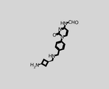 N[C@H]1C[C@@H](CNCc2ccc(-n3ccc(NC=O)nc3=O)cc2)C1